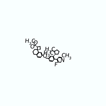 COC(=O)[C@H]1CC[C@@]12CCCc1ccc(OCc3ccc(-c4cc(C)ncc4F)c([C@@H]4CCCC4(C)C)c3)cc12